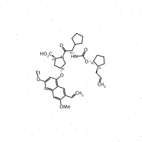 C=CC[C@@H]1CCC[C@H]1OC(=O)N[C@H](C(=O)N1C[C@H](Oc2cc(OCC)nc3cc(OC)c(C=C)cc23)C[C@H]1C(=O)O)C1CCCC1